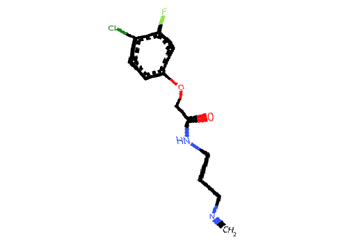 C=NCCCNC(=O)COc1ccc(Cl)c(F)c1